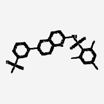 Cc1cc(C)c(S(=O)(=O)Nc2ccc3cc(-c4cccc(S(C)(=O)=O)c4)ccc3n2)c(C)c1